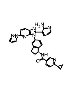 Nc1ncccc1-c1nc2ccc(-n3cccn3)nc2n1-c1ccc2c(c1)CC[C@@H]2NC(=O)c1ccc(C2CC2)nc1